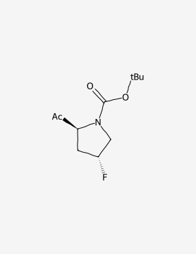 CC(=O)[C@@H]1C[C@@H](F)CN1C(=O)OC(C)(C)C